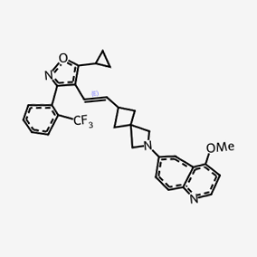 COc1ccnc2ccc(N3CC4(CC(/C=C/c5c(-c6ccccc6C(F)(F)F)noc5C5CC5)C4)C3)cc12